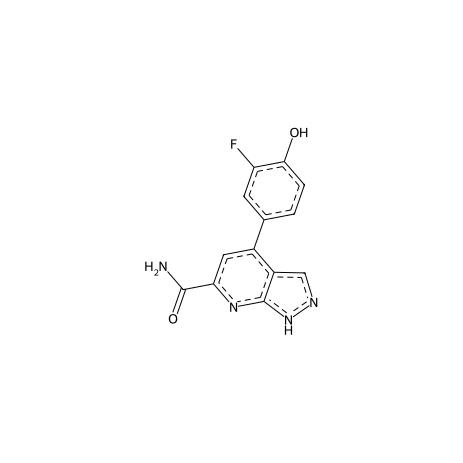 NC(=O)c1cc(-c2ccc(O)c(F)c2)c2cn[nH]c2n1